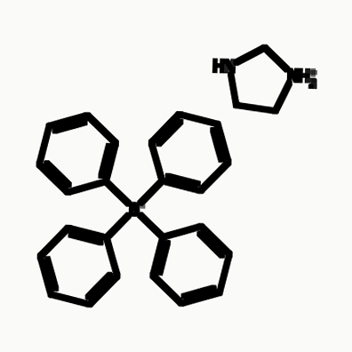 C1C[NH2+]CN1.c1ccc([B-](c2ccccc2)(c2ccccc2)c2ccccc2)cc1